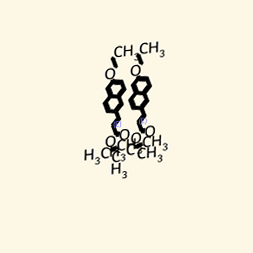 CCCOc1ccc2cc(/C=C/C(=O)OC(C)(C)C)ccc2c1.CCCOc1ccc2cc(/C=C/C(=O)OC(C)(C)C)ccc2c1